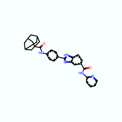 O=C(Nc1ccccn1)c1ccc2[nH]c(-c3ccc(NC(=O)C45CC6CC(CC(C6)C4)C5)cc3)nc2c1